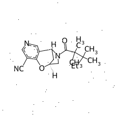 CCC(C)(C)C(C)(C)C(=O)N1C[C@@H]2C[C@H]1c1cncc(C#N)c1O2